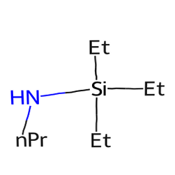 CCCN[Si](CC)(CC)CC